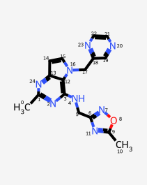 Cc1nc(NCc2noc(C)n2)c2c(ccn2Cc2cnccn2)n1